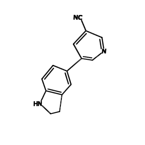 N#Cc1cncc(-c2ccc3c(c2)CCN3)c1